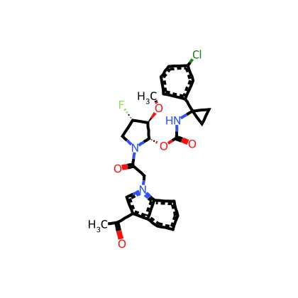 CO[C@@H]1[C@@H](F)CN(C(=O)Cn2cc(C(C)=O)c3ccccc32)[C@H]1OC(=O)NC1(c2cccc(Cl)c2)CC1